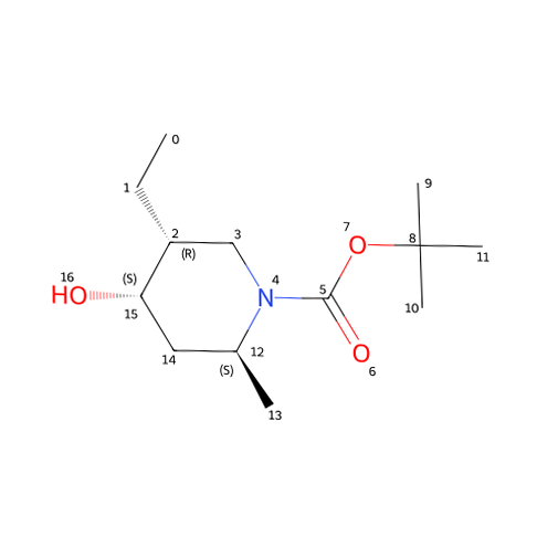 CC[C@@H]1CN(C(=O)OC(C)(C)C)[C@@H](C)C[C@@H]1O